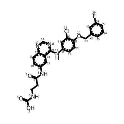 O=C(O)NCCC(=O)Nc1ccc2ncnc(Nc3ccc(OCc4cccc(F)c4)c(Cl)c3)c2c1